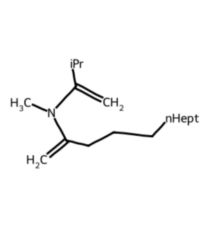 C=C(CCCCCCCCCC)N(C)C(=C)C(C)C